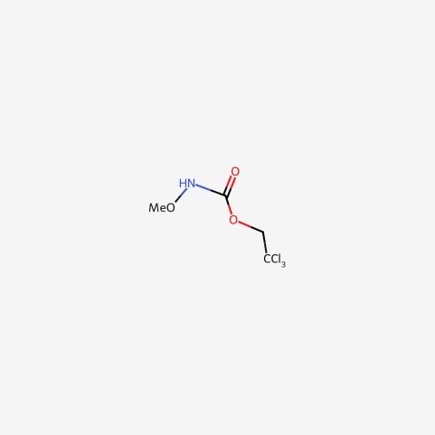 CONC(=O)OCC(Cl)(Cl)Cl